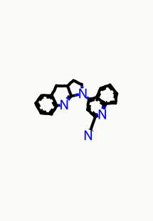 N#Cc1cc(N2CCC3Cc4ccccc4N=C32)c2ccccc2n1